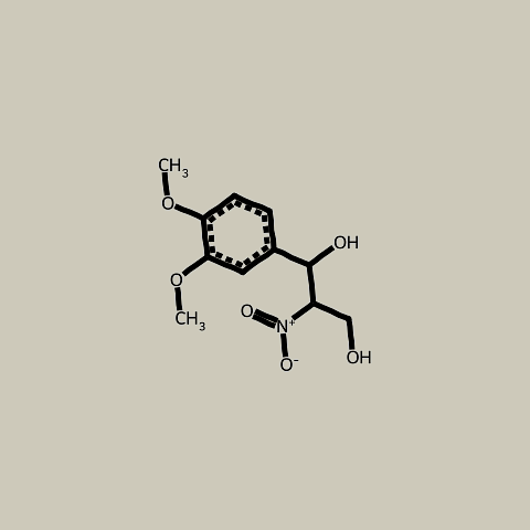 COc1ccc(C(O)C(CO)[N+](=O)[O-])cc1OC